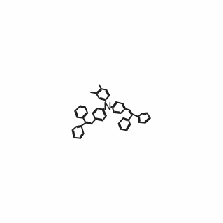 Cc1ccc(N(c2ccc(C=C(c3ccccc3)c3ccccc3)cc2)c2ccc(C=C(c3ccccc3)c3ccccc3)cc2)cc1C